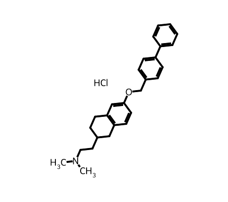 CN(C)CCC1CCc2cc(OCc3ccc(-c4ccccc4)cc3)ccc2C1.Cl